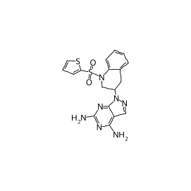 Nc1nc(N)c2cnn(C3Cc4ccccc4N(S(=O)(=O)c4cccs4)C3)c2n1